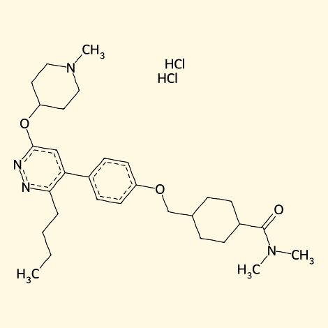 CCCCc1nnc(OC2CCN(C)CC2)cc1-c1ccc(OCC2CCC(C(=O)N(C)C)CC2)cc1.Cl.Cl